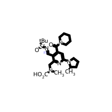 C[C@@H]1CCCN1c1cc(C(=O)N2CCCCC2)c(/C=N/[S+]([O-])C(C)(C)C)c(CN(C)C(=O)O)n1